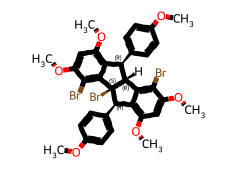 COc1ccc([C@@H]2c3c(OC)cc(OC)c(Br)c3[C@@]3(Br)[C@H](c4ccc(OC)cc4)c4c(OC)cc(OC)c(Br)c4[C@@H]23)cc1